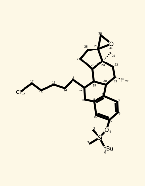 CC(C)(C)[Si](C)(C)Oc1ccc2c(c1)CC(CCCCCCl)C1C2[C@@H](F)C[C@@]2(C)C1CC[C@]21CO1